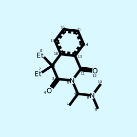 CCC1(CC)C(=O)N(C(C)N(C)C)C(=O)c2ccccc21